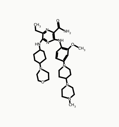 CCc1nc(C(N)=O)c(Nc2ccc(N3CCC(N4CCN(C)CC4)CC3)cc2OC)nc1NC1CCC(N2CCOCC2)CC1